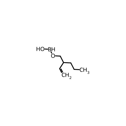 C=CC(CCC)COBO